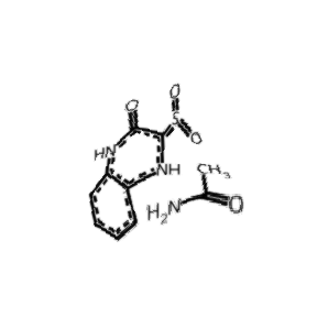 CC(N)=O.O=c1[nH]c2ccccc2[nH]c1=S(=O)=O